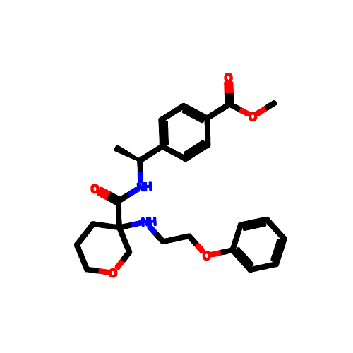 COC(=O)c1ccc([C@H](C)NC(=O)C2(NCCOc3ccccc3)CCCOC2)cc1